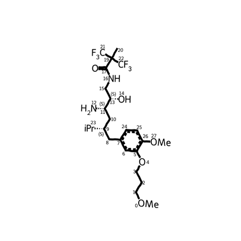 COCCCOc1cc(C[C@@H](C[C@H](N)[C@@H](O)CNC(=O)C(C)(C(F)(F)F)C(F)(F)F)C(C)C)ccc1OC